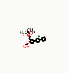 C=C(C)C(=O)OCCc1cc(-c2ccc(-c3ccccc3)c(F)c2)ccc1OCCO